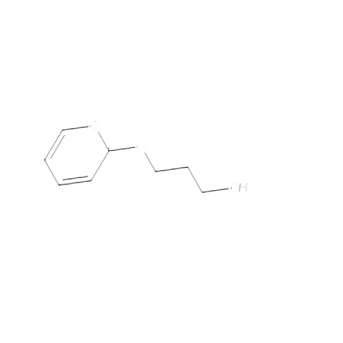 CCCCO[C]1C=CC=CO1